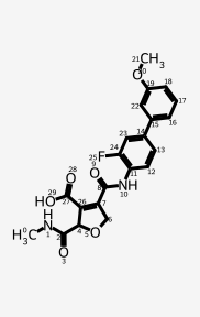 CNC(=O)C1OCC(C(=O)Nc2ccc(-c3cccc(OC)c3)cc2F)=C1C(=O)O